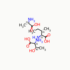 CC[C@H](C)[C@H](N)C(=O)O.C[C@@H](O)[C@H](N)C(=O)O.C[C@H](N)C(=O)O